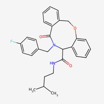 CC(C)CCNC(=O)C1c2ccccc2OCc2ccccc2C(=O)N1Cc1ccc(F)cc1